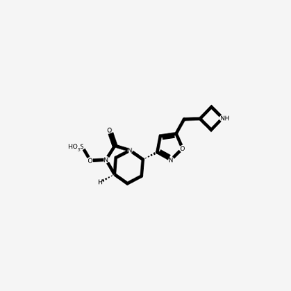 O=C1N2C[C@@H](CC[C@H]2c2cc(CC3CNC3)on2)N1OS(=O)(=O)O